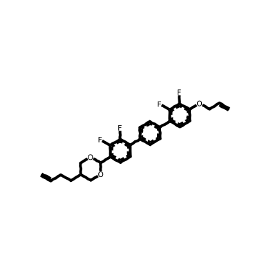 C=CCCC1COC(c2ccc(-c3ccc(-c4ccc(OCC=C)c(F)c4F)cc3)c(F)c2F)OC1